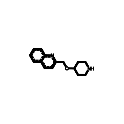 c1ccc2nc(COC3CCNCC3)ccc2c1